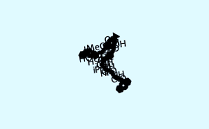 COc1cc2c(cc1OCCCOc1cc3c(cc1OC)C(=O)N1CC4(CC4)C[C@H]1C(O)N3C(=O)OCc1ccc(NC(=O)[C@H](C)NC(=O)[C@@H](NC(=O)CNC(=O)CNC(=O)CCC(=O)N3Cc4ccccc4C#Cc4ccccc43)C(C)C)cc1)N=C[C@@H]1Cc3ccccc3N1C2O